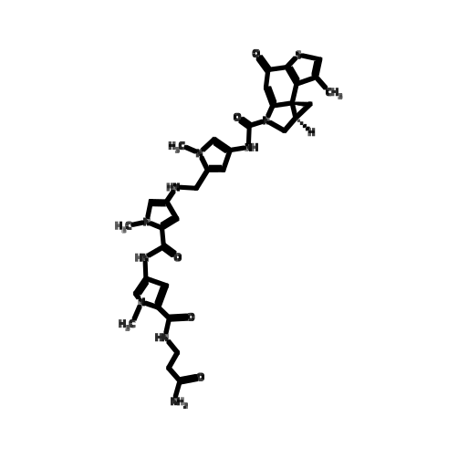 Cc1csc2c1[C@]13C[C@H]1CN(C(=O)Nc1cc(CNc4cc(C(=O)Nc5cc(C(=O)NCCC(N)=O)n(C)c5)n(C)c4)n(C)c1)C3=CC2=O